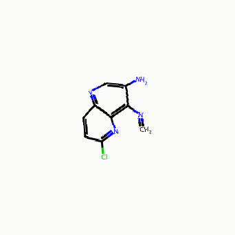 C=Nc1c(N)cnc2ccc(Cl)nc12